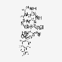 CC(C)(C)c1ccc(S(=O)(=O)Nc2cc(F)c(Cl)cc2-c2nnc(CN3CCNCC3)n2[C@H]2CCNC2)cc1